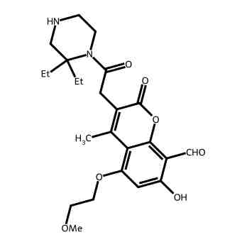 CCC1(CC)CNCCN1C(=O)Cc1c(C)c2c(OCCOC)cc(O)c(C=O)c2oc1=O